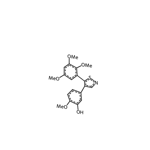 COc1cc(OC)c(OC)c(-c2sncc2-c2ccc(OC)c(O)c2)c1